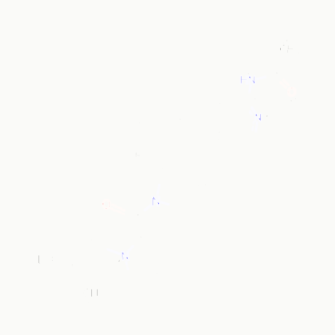 C[C](C)CN1CCC[C@H]1C(=O)N1CCc2c(-c3ccnc(NC(C)=O)c3)cccc21